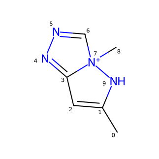 CC1=CC2=NN=C[N+]2(C)N1